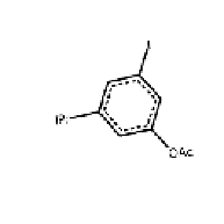 [CH2]C(C)c1cc(I)cc(OC(C)=O)c1